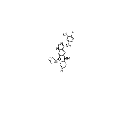 Fc1ccc(Nc2ncnc3cc(O[C@H]4CCOC4)c(NC4CCNCC4)cc23)cc1Cl